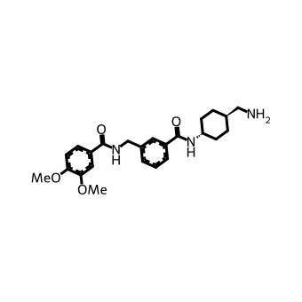 COc1ccc(C(=O)NCc2cccc(C(=O)N[C@H]3CC[C@H](CN)CC3)c2)cc1OC